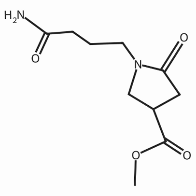 COC(=O)C1CC(=O)N(CCCC(N)=O)C1